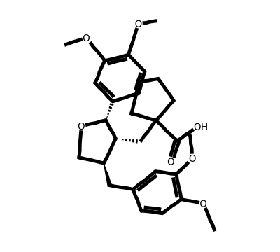 COc1ccc(C[C@H]2CO[C@H](c3ccc(OC)c(OC)c3)[C@@H]2CC2(C(=O)O)CCCC2)cc1OC